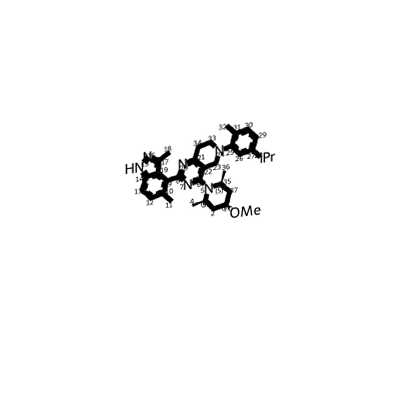 CO[C@H]1C[C@@H](C)N(c2nc(-c3c(C)ccc4[nH]nc(C)c34)nc3c2CN(c2cc(C(C)C)ccc2C)CC3)[C@@H](C)C1